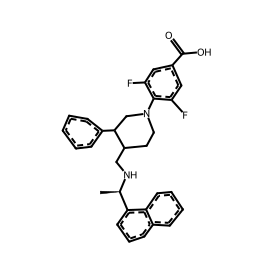 C[C@@H](NCC1CCN(c2c(F)cc(C(=O)O)cc2F)CC1c1ccccc1)c1cccc2ccccc12